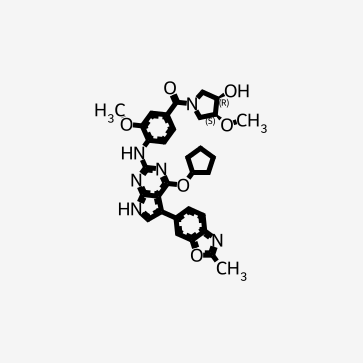 COc1cc(C(=O)N2C[C@@H](O)[C@@H](OC)C2)ccc1Nc1nc(OC2CCCC2)c2c(-c3ccc4nc(C)oc4c3)c[nH]c2n1